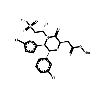 CC[C@@H](CS(=O)(=O)C(C)(C)C)N1C(=O)[C@@H](CC(=O)OC(C)(C)C)O[C@H](c2cccc(Cl)c2)[C@H]1c1ccc(Cl)s1